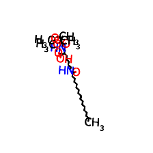 CCCCCCCCC=CCCCCCCCC(=O)NCCCCCC(CNC(=O)C1OC(C)(C)OCC1(C)C)C(=O)O